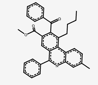 CCCCc1c(C(=O)c2ccccc2)c(C(=O)OC)cc2c(-c3ccccc3)nc3cc(C)ccc3c12